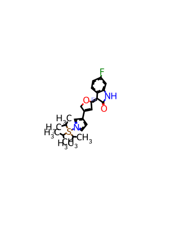 CC(C)S(C(C)C)(C(C)C)n1ccc(C2=C/C(=C3\C(=O)Nc4cc(F)ccc43)OC2)c1